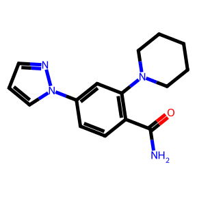 NC(=O)c1ccc(-n2cccn2)cc1N1CCCCC1